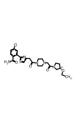 CCO[C@@H]1CCN(C(=O)CN2CCN(C(=O)Cc3csc(-c4cc(Cl)ccc4C(N)=O)n3)CC2)C1